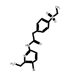 CCc1nc(NC(=O)Cc2ccc(S(=O)(=O)CC)cc2)ccc1Br